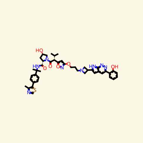 Cc1ncsc1-c1ccc(C(C)(C)NC(=O)[C@@H]2C[C@@H](O)CN2C(=O)[C@@H](c2cc(OCCCN3CC(c4cc5cc(-c6ccccc6O)nnc5[nH]4)C3)no2)C(C)C)cc1